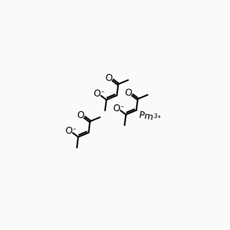 CC(=O)/C=C(/C)[O-].CC(=O)/C=C(/C)[O-].CC(=O)/C=C(/C)[O-].[Pm+3]